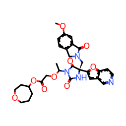 COc1ccc2c(c1)C(=O)N(C[C@@]1(c3cc4cnccc4o3)NC(=O)N(C(C)OCC(=O)OC3CCCOCC3)C1=O)C2